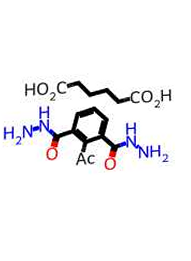 CC(=O)c1c(C(=O)NN)cccc1C(=O)NN.O=C(O)CCCCC(=O)O